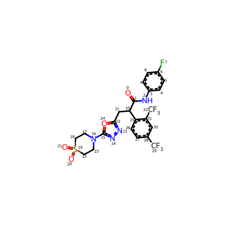 O=C(Nc1ccc(F)cc1)C(Cc1nnc(N2CCS(=O)(=O)CC2)o1)c1ccc(C(F)(F)F)cc1C(F)(F)F